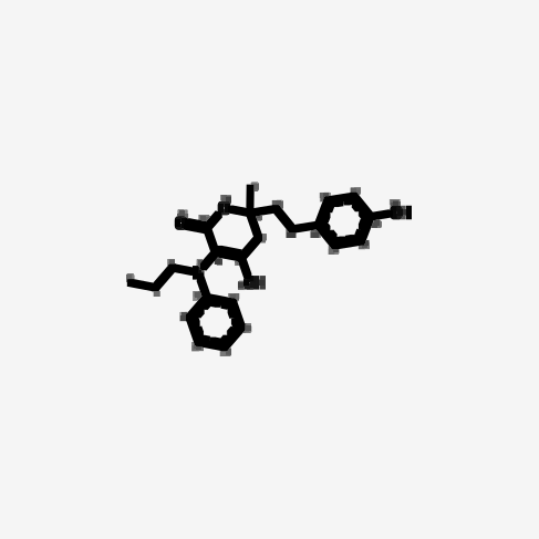 CCCN(C1=C(O)CC(C)(CCc2ccc(O)cc2)OC1=O)c1ccccc1